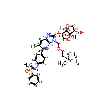 C[Si](C)(C)CCOCn1c(O[C@@H]2CO[C@H]3[C@@H]2OC[C@H]3O)nc2cc(Cl)c(-c3ccc(N=[S@](C)(=O)c4ccccc4)cc3)nc21